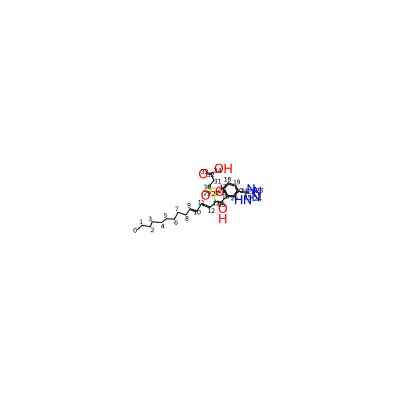 CCCCCCCCC/C=C/C=C/[C@H]([C@@H](O)c1cccc(-c2nnn[nH]2)c1)S(=O)(=O)CCC(=O)O